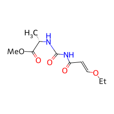 CCO/C=C/C(=O)NC(=O)N[C@@H](C)C(=O)OC